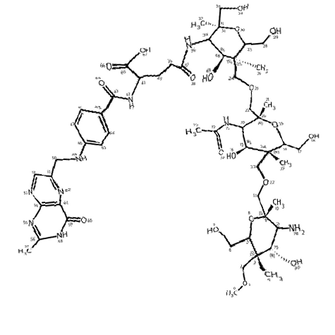 COC[C@]1(C)C(CO)O[C@](C)(COC[C@@]2(C)C(CO)O[C@@](C)(COC[C@]3(C)C(CO)O[C@](C)(CO)C(NC(=O)CCC(NC(=O)c4ccc(NCc5cnc6nc(C)[nH]c(=O)c6n5)cc4)C(=O)O)[C@@H]3O)C(NC(C)=O)[C@@H]2O)C(N)[C@@H]1O